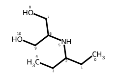 CCC(CC)NC(CO)CO